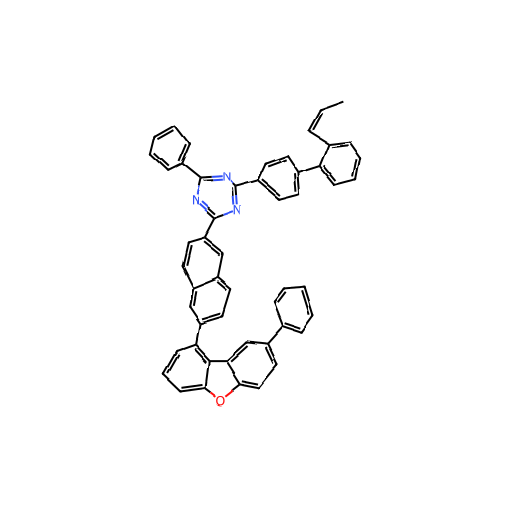 C/C=C\c1ccccc1-c1ccc(-c2nc(-c3ccccc3)nc(-c3ccc4cc(-c5cccc6oc7ccc(-c8ccccc8)cc7c56)ccc4c3)n2)cc1